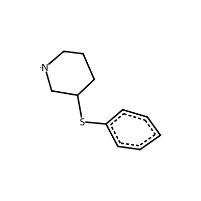 c1ccc(SC2CCC[N]C2)cc1